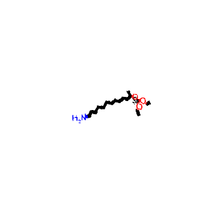 CCO[Si](C)(OCC)OC(C)CCCCCCCCCCCN